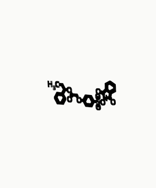 CCC(OC(=O)COc1ccc(S(=O)(=O)ON2C(=O)c3ccccc3C2=O)cc1)c1ccccc1